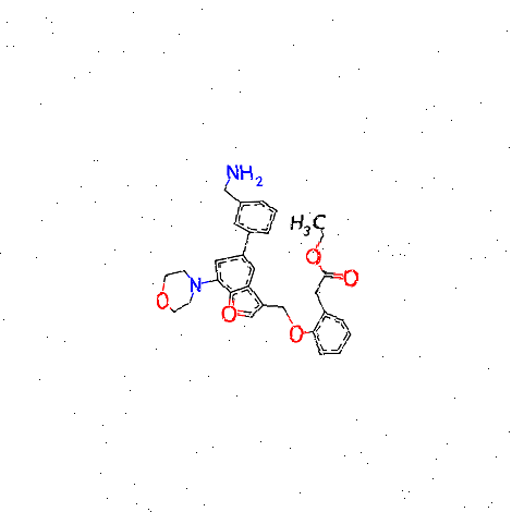 CCOC(=O)Cc1ccccc1OCc1coc2c(N3CCOCC3)cc(-c3cccc(CN)c3)cc12